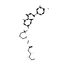 COc1ccc(-c2cc(=O)c3c(O)cc(OC4(O)O[C@@H](COC(=O)[C@@H](O)[C@@H](O)[C@H](O)[C@@H](C)O)[C@H](O)[C@@H](O)[C@@H]4O)cc3o2)cc1O